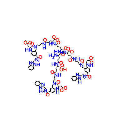 COC(=O)CC1Nc2ccc(C(=O)N(C)Cc3nc4ccccc4[nH]3)cc2CN(CCCNC(=O)CCC(NC(=O)CCC(NC(=O)C(N)CCC(=O)N[C@@H](CCC(=O)NCCCN2Cc3cc(C(=O)N(C)Cc4nc5ccccc5[nH]4)ccc3NC(CC(=O)OC)C2=O)C(=O)O)C(=O)NC(CCC(=O)NCCCN2Cc3cc(C(=O)N(C)Cc4nc5ccccc5[nH]4)ccc3NC(CC(=O)OC)C2=O)C(=O)OC)C(=O)OC)C1=O